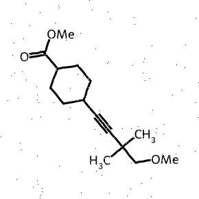 COCC(C)(C)C#CC1CCC(C(=O)OC)CC1